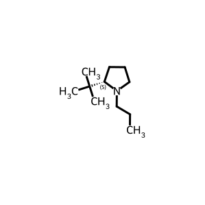 CCCN1CCC[C@H]1C(C)(C)C